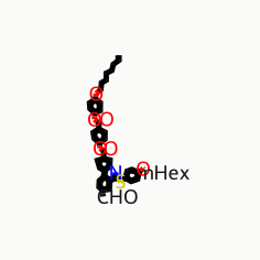 C=CCCCCCCOc1ccc(OC(=O)c2ccc(OC(=O)c3ccc4c(c3)nc(Sc3ccc(OCCCCCC)cc3)c3cc(C=O)ccc34)cc2)cc1